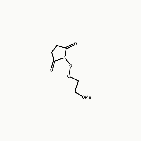 COCCOON1C(=O)CCC1=O